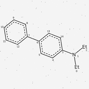 CCN(CC)c1ccc(-c2cc[c]cc2)cc1